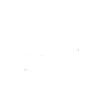 [CH2]CCCCCCCCOCC(C)CCCC